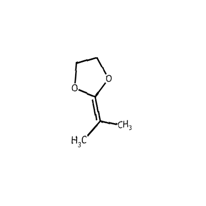 CC(C)=C1OCCO1